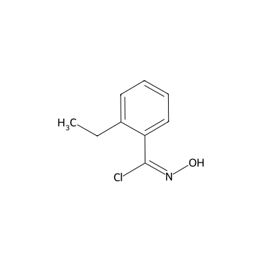 CCc1ccccc1/C(Cl)=N\O